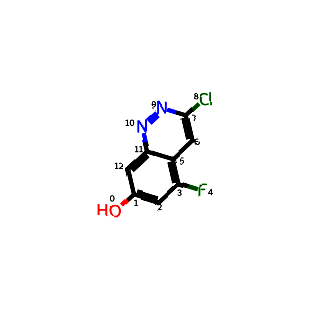 Oc1cc(F)c2cc(Cl)nnc2c1